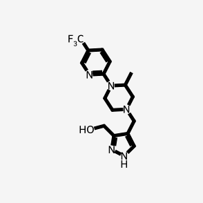 CC1CN(Cc2c[nH]nc2CO)CCN1c1ccc(C(F)(F)F)cn1